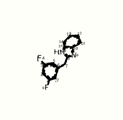 Fc1cc(F)cc(Cc2nc3ccccc3[nH]2)c1